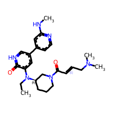 CCN(c1cc(-c2ccnc(NC)c2)c[nH]c1=O)[C@@H]1CCCN(C(=O)/C=C/CN(C)C)C1